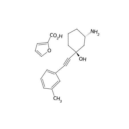 Cc1cccc(C#C[C@]2(O)CCC[C@H](N)C2)c1.O=C(O)c1ccco1